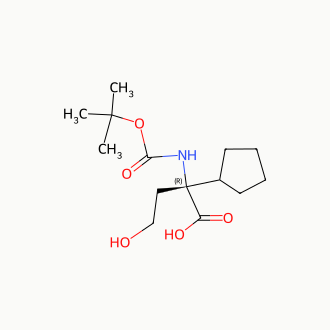 CC(C)(C)OC(=O)N[C@@](CCO)(C(=O)O)C1CCCC1